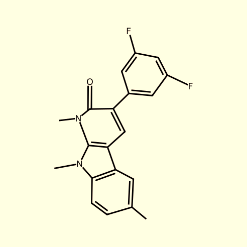 Cc1ccc2c(c1)c1cc(-c3cc(F)cc(F)c3)c(=O)n(C)c1n2C